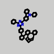 c1ccc(-c2nc(-c3ccc(-c4ccccc4-c4cccc5c4C4CC6CC7CC(CC764)c4ccccc4-5)cc3)nc(-c3ccc4c(c3)c3ccccc3n4-c3ccccc3)n2)cc1